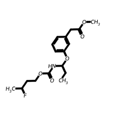 CCC(NC(=O)OCCC(C)F)Oc1cccc(CC(=O)OC)c1